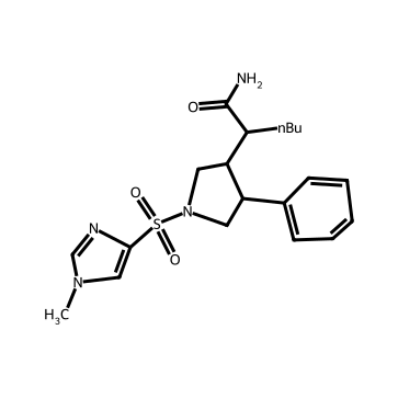 CCCCC(C(N)=O)C1CN(S(=O)(=O)c2cn(C)cn2)CC1c1ccccc1